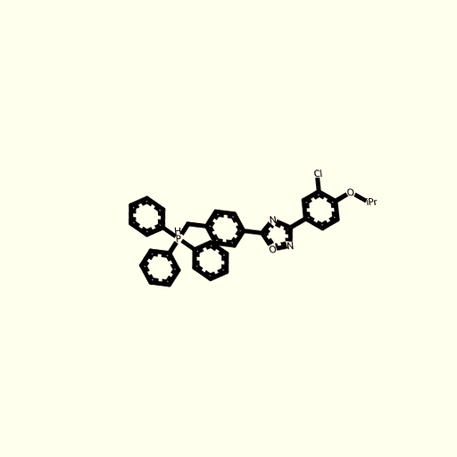 CC(C)Oc1ccc(-c2noc(-c3ccc(C[PH](c4ccccc4)(c4ccccc4)c4ccccc4)cc3)n2)cc1Cl